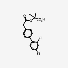 CC(C)(OC(=O)Cc1ccc(-c2ccc(Cl)cc2Cl)cc1)C(=O)O